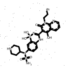 CC(C)CCn1c(=O)c(C2=NS(O)(O)c3cc(N(C4CCNCC4)S(N)(=O)=O)ccc3N2)c(O)c2cccnc21